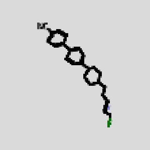 N#Cc1ccc(-c2ccc(C3CCC(CC/C=C/CF)CC3)cc2)cc1